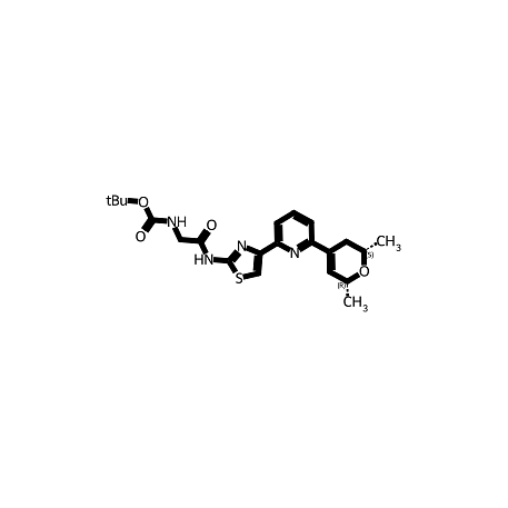 C[C@@H]1C=C(c2cccc(-c3csc(NC(=O)CNC(=O)OC(C)(C)C)n3)n2)C[C@H](C)O1